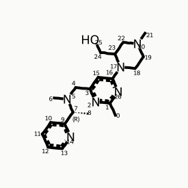 Cc1nc(CN(C)[C@H](C)c2ccccn2)cc(N2CCN(C)CC2CO)n1